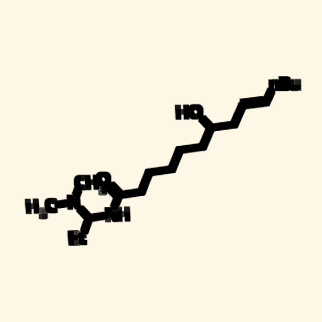 CCCCC=CCC(O)CCCCCC(=O)NC(CC)N(C)C